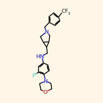 Fc1cc(NCC2C3CN(Cc4ccc(C(F)(F)F)cc4)CC23)ccc1N1CCOCC1